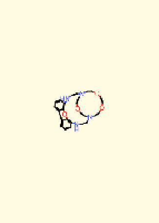 c1cc2c3oc4c(cccc4c3c1)NCCN1CCOCCOCCN(CCN2)CCOCC1